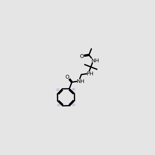 CC(=O)NC(C)(C)PCNC(=O)C1=C/C=C\C=C/C=C\1